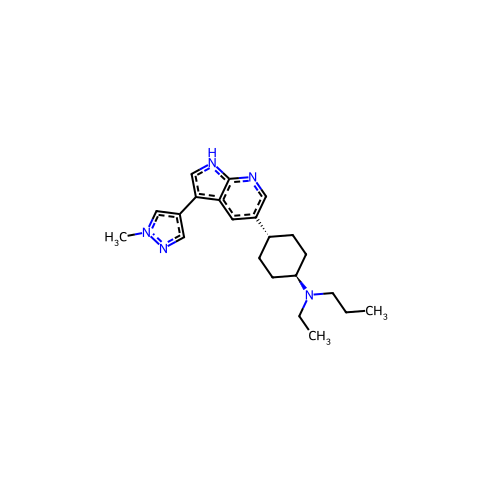 CCCN(CC)[C@H]1CC[C@H](c2cnc3[nH]cc(-c4cnn(C)c4)c3c2)CC1